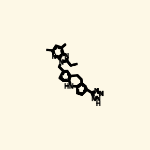 CCc1nc2c(C)cc(C)nc2n1Cc1ccc2c(c1)CCc1cc(-c3nn[nH]n3)ccc1N2